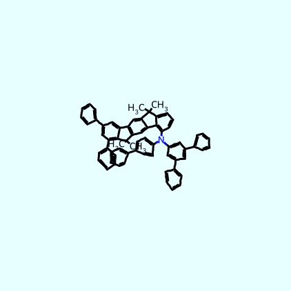 CC1(C)c2cc3c(cc2-c2c(N(c4ccc(-c5ccccc5)cc4)c4cc(-c5ccccc5)cc(-c5ccccc5)c4)cccc21)C(C)(C)c1c(-c2ccccc2)cc(-c2ccccc2)cc1-3